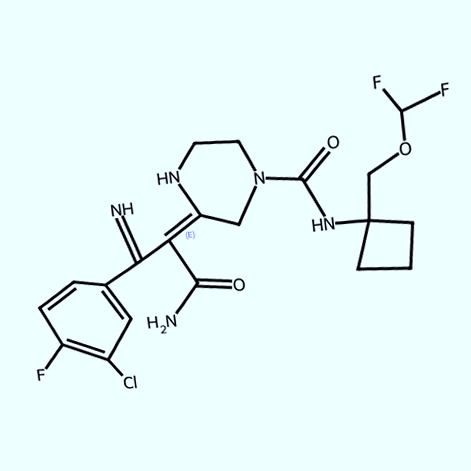 N=C(/C(C(N)=O)=C1/CN(C(=O)NC2(COC(F)F)CCC2)CCN1)c1ccc(F)c(Cl)c1